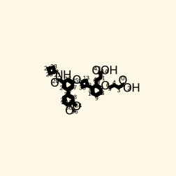 O=C(O)CCCOc1cccc(C2CC(Oc3cc(C(=O)NC4CCC4)cc(-c4ccc5c(c4)OCO5)c3)C2)c1CCC(=O)O